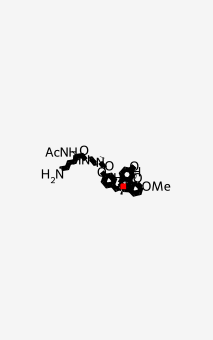 COc1ccc2c3c1O[C@H]1C(=O)CC[C@H]4C(C2)[N@@+](C)(Cc2ccc(OC(=O)N(C)CCNC(=O)[C@H](CCCCN)NC(C)=O)cc2)CC[C@]314